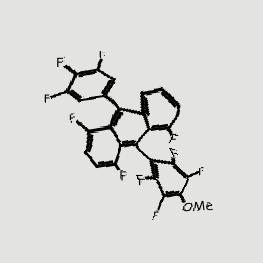 COc1c(F)c(F)c(-c2c3c(F)cccc3c(-c3cc(F)c(F)c(F)c3)c3c(F)ccc(F)c23)c(F)c1F